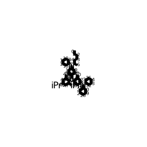 C=C/C=C\C=C(/C)N(c1ccccc1)c1ccc2c(c1)Sc1cc(N(c3ccccc3)c3ccccc3)ccc1B2c1c(C(C)C)cc(C(C)C)cc1C(C)C